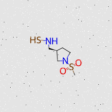 CS(=O)(=O)N1CC[C@H](CNS)C1